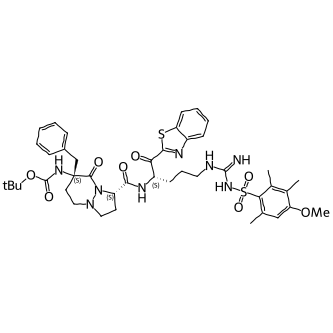 COc1cc(C)c(S(=O)(=O)NC(=N)NCCC[C@H](NC(=O)[C@@H]2CCN3CC[C@](Cc4ccccc4)(NC(=O)OC(C)(C)C)C(=O)N23)C(=O)c2nc3ccccc3s2)c(C)c1C